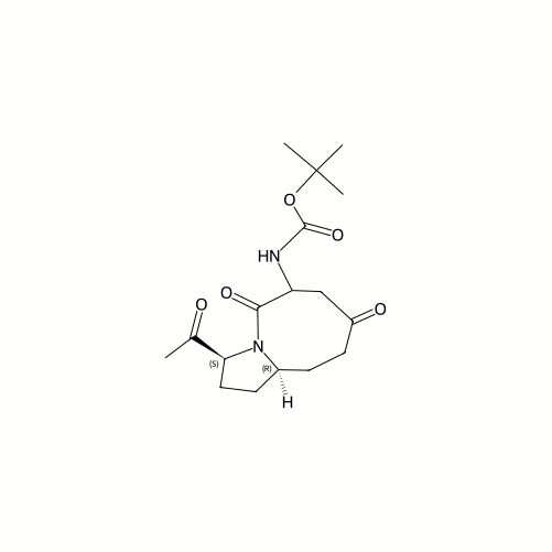 CC(=O)[C@@H]1CC[C@@H]2CCC(=O)CC(NC(=O)OC(C)(C)C)C(=O)N21